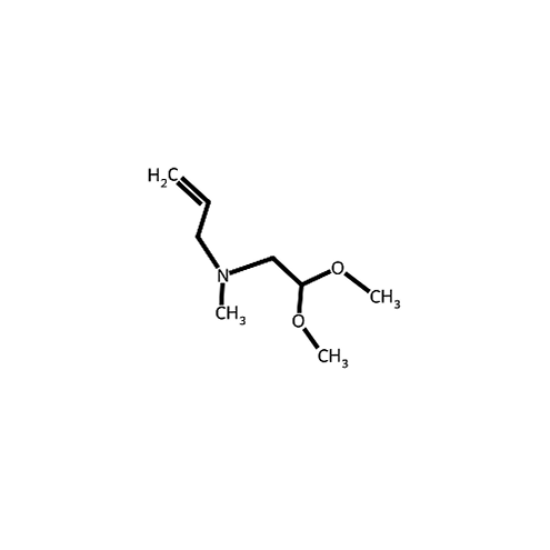 C=CCN(C)CC(OC)OC